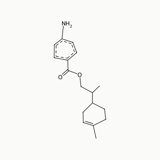 CC1=CCC(C(C)COC(=O)c2ccc(N)cc2)CC1